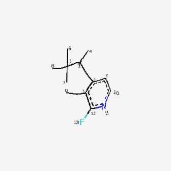 Cc1c(C(C)C(C)(C)C)ccnc1F